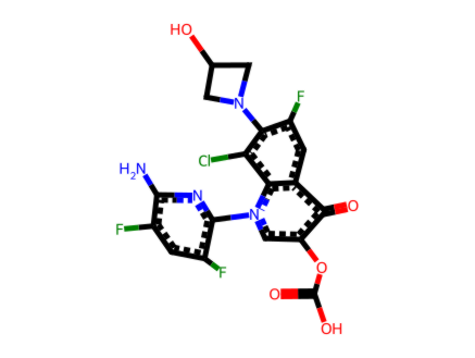 Nc1nc(-n2cc(OC(=O)O)c(=O)c3cc(F)c(N4CC(O)C4)c(Cl)c32)c(F)cc1F